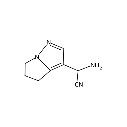 N#CC(N)c1cnn2c1CCC2